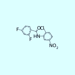 O=C(Nc1cc([N+](=O)[O-])ccc1Cl)c1ccc(F)cc1F